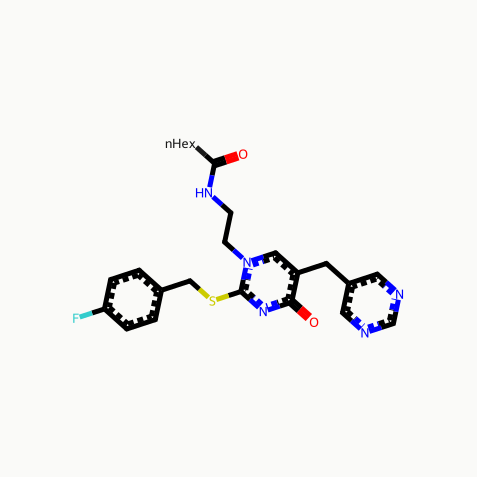 CCCCCCC(=O)NCCn1cc(Cc2cncnc2)c(=O)nc1SCc1ccc(F)cc1